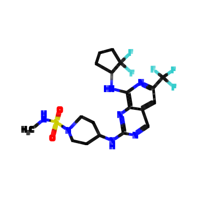 CNS(=O)(=O)N1CCC(Nc2ncc3cc(C(F)(F)F)nc(NC4CCCC4(F)F)c3n2)CC1